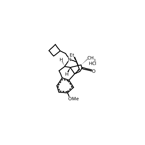 CC[C@@H]1[C@H]2[C@H]3Cc4ccc(OC)cc4[C@@]2(CCN3CC2CCC2)CC(=O)[C@H]1C.Cl